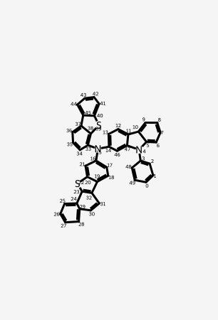 c1ccc(-n2c3ccccc3c3ccc(N(c4ccc5c(c4)sc4c6ccccc6ccc54)c4cccc5c4sc4ccccc45)cc32)cc1